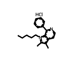 CCCCCn1c(C)c(C)c2ccnc(-c3ccccc3)c21.Cl